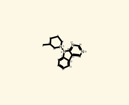 CC1CCCN(n2c3ccccc3c3cncnc32)C1